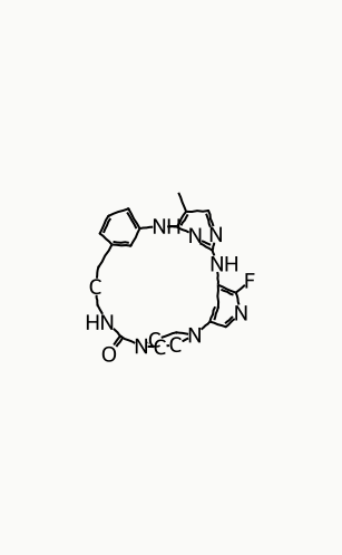 Cc1cnc2nc1Nc1cccc(c1)CCCNC(=O)N1CCN(CC1)c1cnc(F)c(c1)N2